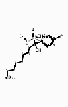 CCCCCCCCCCCCCCCCCC(O)(c1ccc(I)cc1)P(=O)(O)OCC